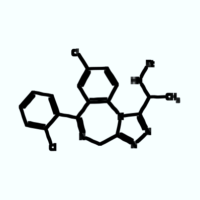 CCNC(C)c1nnc2n1-c1ccc(Cl)cc1C(c1ccccc1Cl)=NC2